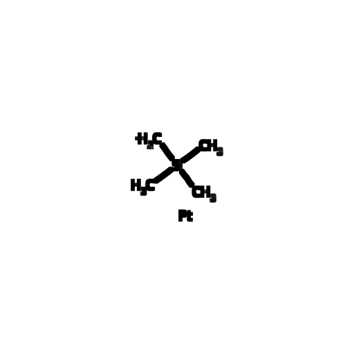 [CH2][Si](C)(C)C.[Pt]